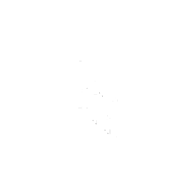 Cc1nc(N)sc1C(=O)NCc1ccc(F)cc1Cl